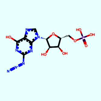 [N-]=[N+]=Nc1nc(O)c2ncn([C@@H]3O[C@H](COP(=O)(O)O)[C@@H](O)[C@H]3O)c2n1